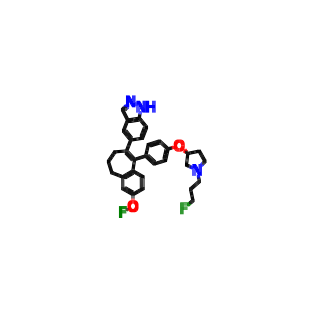 FCCCN1CC[C@H](Oc2ccc(C3=C(c4ccc5[nH]ncc5c4)CCCc4cc(OF)ccc43)cc2)C1